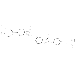 C/C=C\C(=C/CC)c1ccc(C(=O)NCc2cccc(C(=O)Nc3ccc(CCN(C)C)cc3)c2)cc1